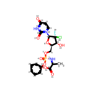 CC(N[P@](=O)(OC[C@H]1O[C@@H](n2ccc(=O)[nH]c2=O)[C@@](F)(Cl)[C@@H]1O)Oc1ccccc1)C(=O)O